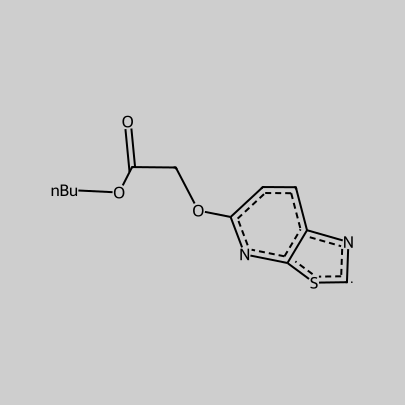 CCCCOC(=O)COc1ccc2n[c]sc2n1